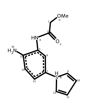 COCC(=O)Nc1cc([SH]2C=CC=C2)ccc1N